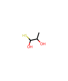 CC(O)C(O)S